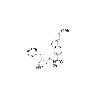 COCCn1ccc2cc(C(=O)N(C[C@H]3CNC[C@@H]3Cc3ccccc3)C(C)C)ccc21